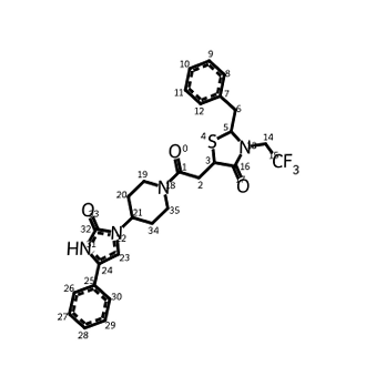 O=C(CC1SC(Cc2ccccc2)N(CC(F)(F)F)C1=O)N1CCC(n2cc(-c3ccccc3)[nH]c2=O)CC1